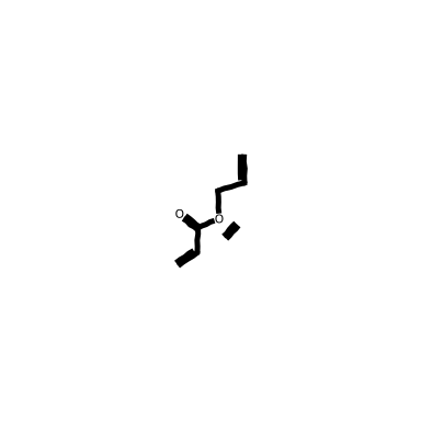 C=C.C=CCOC(=O)C=C